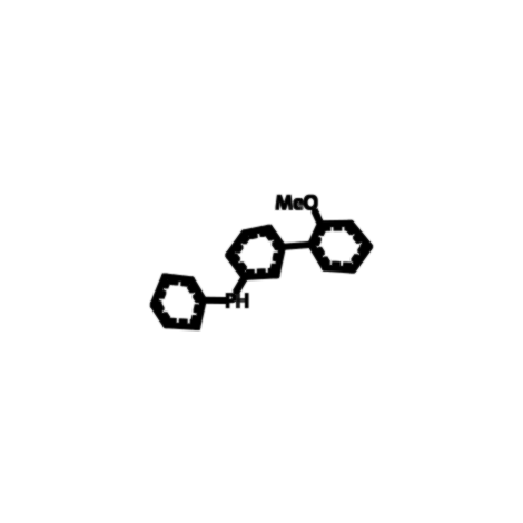 COc1ccccc1-c1cccc(Pc2ccccc2)c1